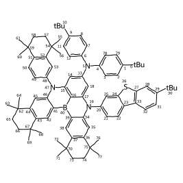 CC(C)(C)c1ccc(N(c2ccc(C(C)(C)C)cc2)c2cc3c4c(c2)N(c2ccc5c(c2)sc2cc(C(C)(C)C)ccc25)c2cc5c(cc2B4c2cc4c(cc2N3c2ccc3c(c2)C(C)(C)CCC3(C)C)C(C)(C)CCC4(C)C)C(C)(C)CCC5(C)C)cc1